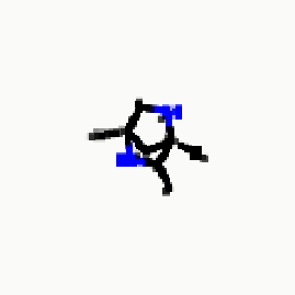 CC1N[C@H]2CN[C@@H]1C2